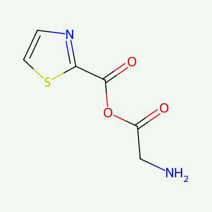 NCC(=O)OC(=O)c1nccs1